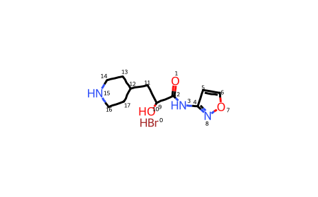 Br.O=C(Nc1ccon1)C(O)CC1CCNCC1